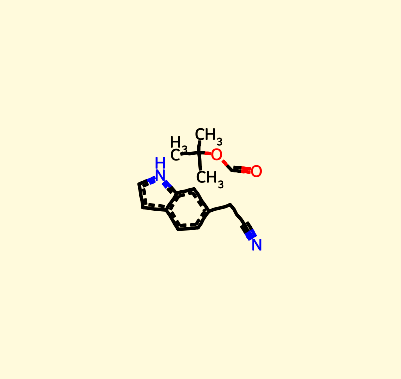 CC(C)(C)OC=O.N#CCc1ccc2cc[nH]c2c1